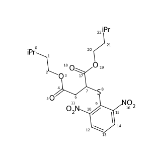 CC(C)CCOC(=O)CC(Sc1c([N+](=O)[O-])cccc1[N+](=O)[O-])C(=O)OCCC(C)C